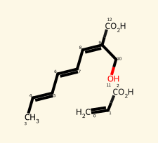 C=CC(=O)O.CC=CC=CC=C(CO)C(=O)O